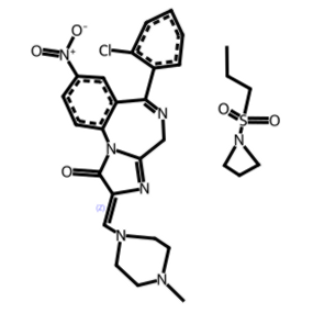 CCCS(=O)(=O)N1CCC1.CN1CCN(/C=C2\N=C3CN=C(c4ccccc4Cl)c4cc([N+](=O)[O-])ccc4N3C2=O)CC1